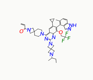 C=CC(=O)N1CC2(CCN(c3nc(N4CC5(C4)CN(C(C)CC)C5)nc4c(OCC(F)(F)F)c(-c5c(C)ccc6[nH]ncc56)c(C5CC5)cc34)CC2)C1